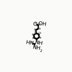 N=C(N)Nc1ccc(C=CC(=O)O)cc1